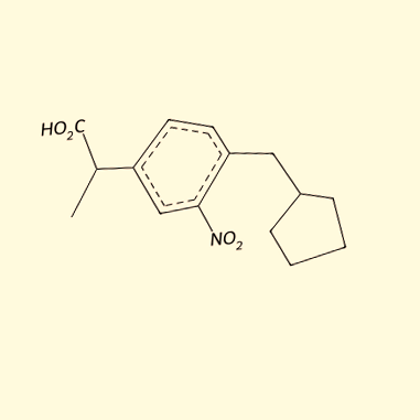 CC(C(=O)O)c1ccc(CC2CCCC2)c([N+](=O)[O-])c1